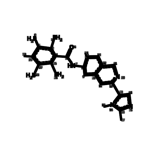 Bc1c(B)c(C(=O)Nc2cc3cc(-c4cnc(C)n4C)ncc3cn2)c(B)c(B)c1C